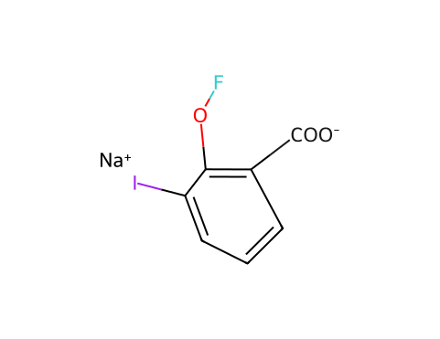 O=C([O-])c1cccc(I)c1OF.[Na+]